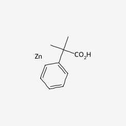 CC(C)(C(=O)O)c1ccccc1.[Zn]